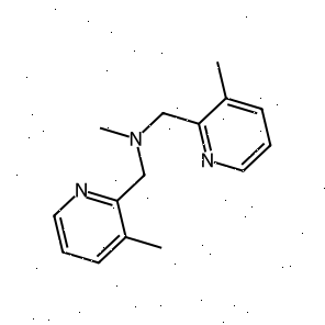 Cc1cccnc1CN(C)Cc1ncccc1C